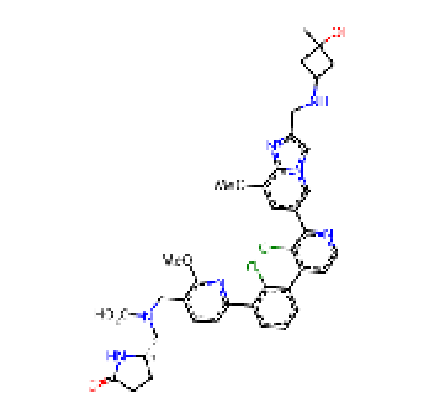 COc1nc(-c2cccc(-c3ccnc(-c4cc(OC)c5nc(CNC6CC(C)(O)C6)cn5c4)c3Cl)c2Cl)ccc1CN(C[C@@H]1CCC(=O)N1)C(=O)O